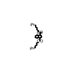 CC(C)CCCCCOC(=O)c1ccc(C(=O)OCCCCCC(C)C)c2ccccc12